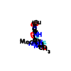 COc1cc(C(=O)NC2CC3(CCN(C(=O)OC(C)(C)C)CC3)C2)c(F)cc1Nc1ncc2c(n1)N(C(C)C)CC(F)(F)C(=O)N2C